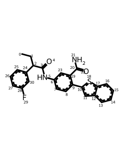 CCC(C(=O)Nc1ccc(-c2cc3ccccc3s2)c(C(N)=O)c1)c1cccc(F)c1